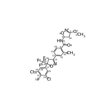 COC1=NOC(NC(=O)c2ccc(C3=NOC(c4cc(Cl)c(F)c(Cl)c4)(C(F)(F)F)C3)cc2C)C1